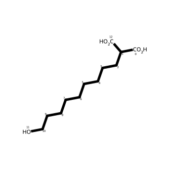 O=C(O)C(CCCCCCCCCO)C(=O)O